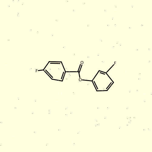 O=C(Oc1cccc(F)c1)c1ccc(F)cc1